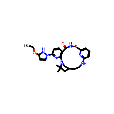 CC(C)(C)COC1C=CN(c2ccc3c(n2)N2CC(CCNc4cccc(n4)SNC3=O)CC2(C)C)N1